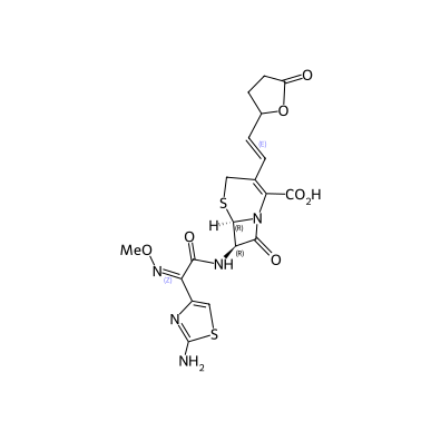 CO/N=C(\C(=O)N[C@@H]1C(=O)N2C(C(=O)O)=C(/C=C/C3CCC(=O)O3)CS[C@H]12)c1csc(N)n1